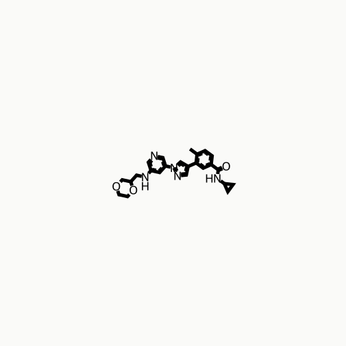 Cc1ccc(C(=O)NC2CC2)cc1-c1cnn(-c2cncc(NCC3COCCO3)c2)c1